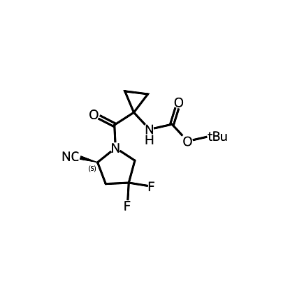 CC(C)(C)OC(=O)NC1(C(=O)N2CC(F)(F)C[C@H]2C#N)CC1